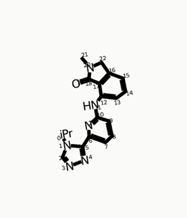 CC(C)n1cnnc1-c1cccc(Nc2cccc3c2C(=O)N(C)C3)n1